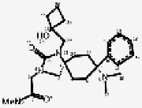 CNC(=O)CN1C[C@]2(CC[C@@](c3ccccc3)(N(C)C)CC2)N(CC2(O)CCC2)C1=O